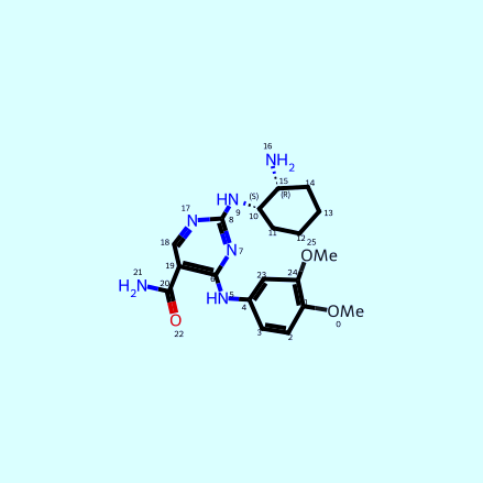 COc1ccc(Nc2nc(N[C@H]3CCCC[C@H]3N)ncc2C(N)=O)cc1OC